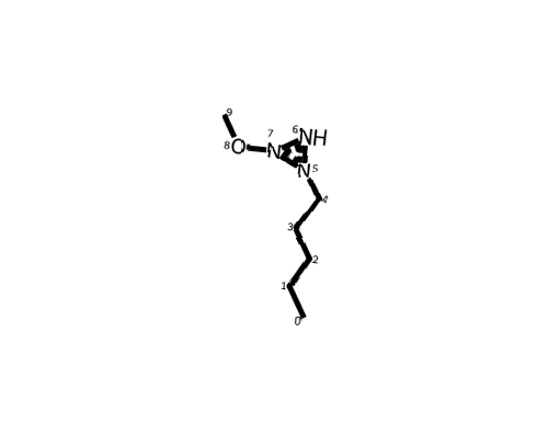 CCCCCn1[nH]n1OC